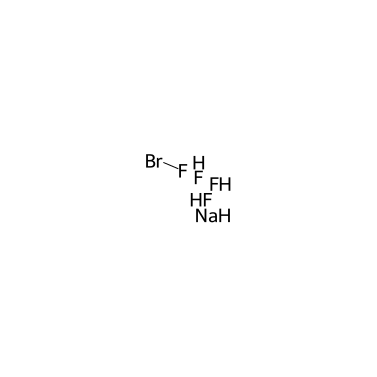 F.F.F.FBr.[NaH]